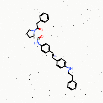 O=C(Nc1ccc(/C=C/c2ccc(NCCc3ccccc3)cc2)cc1)[C@@H]1CCCN1C(=O)Cc1ccccc1